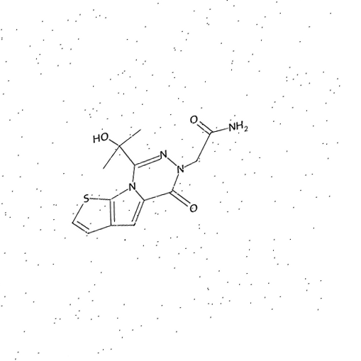 CC(C)(O)c1nn(CC(N)=O)c(=O)c2cc3ccsc3n12